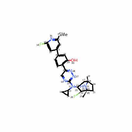 CSc1cc(-c2ccc(-c3cnc(N(C4CC4)[C@H]4C[C@]5(C)CC[C@@](C)(N5)[C@H]4F)nn3)c(O)c2)cc(F)n1